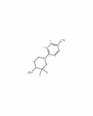 CC(C)(C)C1CCN(c2ccc(C#N)nn2)CC1(C)C